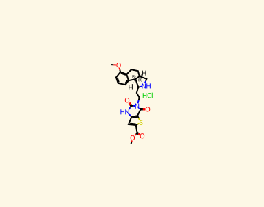 COC(=O)c1cc2[nH]c(=O)n(CCC3NC[C@@H]4CCc5c(OC)cccc5[C@H]34)c(=O)c2s1.Cl